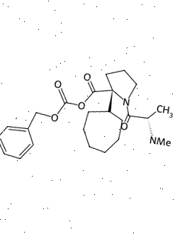 CN[C@@H](C)C(=O)N1CCC[C@]1(C(=O)OC(=O)OCc1ccccc1)C1CCCCCC1